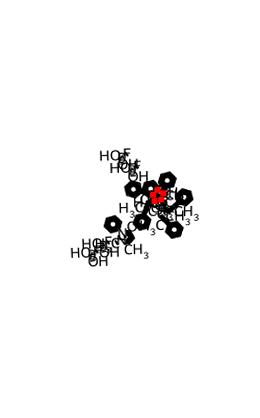 CC(C)([CH2][Sn]([CH2]C(C)(C)c1ccccc1)([CH2]C(C)(C)c1ccccc1)[O][Sn]([CH2]C(C)(C)c1ccccc1)([CH2]C(C)(C)c1ccccc1)[CH2]C(C)(C)c1ccccc1)c1ccccc1.Cc1cc(=O)n(-c2ccccc2)n1C.OB(O)F.OB(O)F.OB(O)F.OB(O)F